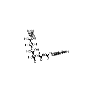 O=C(O)O.O=C(O)O.O=C(O)O.O=C(O)O.O=C(O)O.O=C(O)O.[NaH].[NaH].[NaH].[NaH].[NaH].[NaH].[NaH].[NaH].[NaH].[NaH].[NaH]